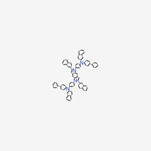 c1ccc(-c2ccc(N(c3ccc(-n4c(-c5ccc6ccccc6c5)cc5cc6c(cc(-c7ccc8ccccc8c7)n6-c6ccc(N(c7ccc(-c8ccccc8)cc7)c7ccc8ccccc8c7)cc6)cc54)cc3)c3ccc4ccccc4c3)cc2)cc1